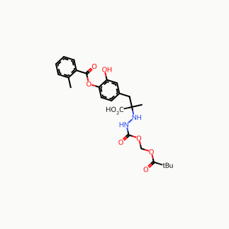 Cc1ccccc1C(=O)Oc1ccc(CC(C)(NNC(=O)OCOC(=O)C(C)(C)C)C(=O)O)cc1O